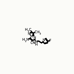 Cc1nn2c(N)c(C#N)c(NCCc3ccc(F)cn3)nc2c1C